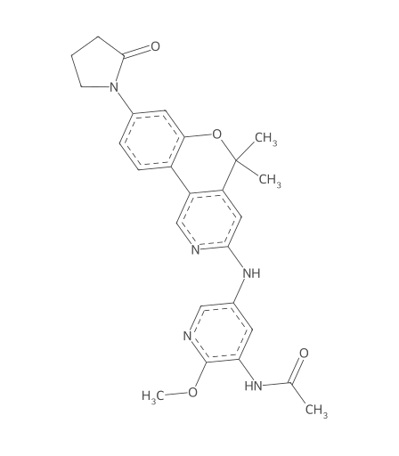 COc1ncc(Nc2cc3c(cn2)-c2ccc(N4CCCC4=O)cc2OC3(C)C)cc1NC(C)=O